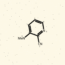 CNc1cccnc1C#N